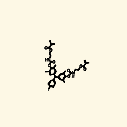 C=C(C)C(=O)OCCNC(=O)Oc1c(C)cc(C(c2ccc(I)cc2)c2cc(C)c(OC(=O)NCCOC(=O)C(=C)C)c(C)c2)cc1C